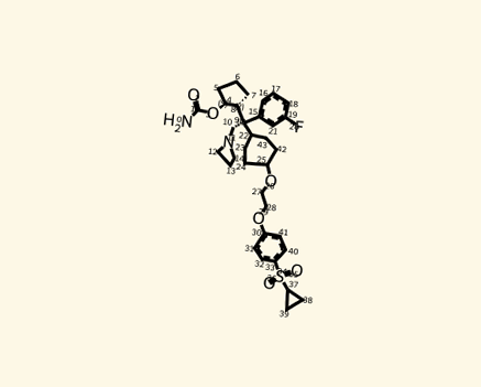 NC(=O)O[C@H]1CCC[C@@H]1[C@@](CN1CCC1)(c1cccc(F)c1)C1CCC(OCCOc2ccc(S(=O)(=O)C3CC3)cc2)CC1